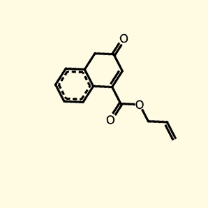 C=CCOC(=O)C1=CC(=O)Cc2ccccc21